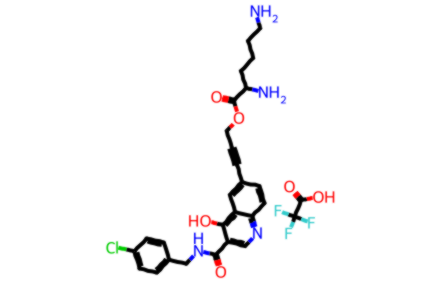 NCCCCC(N)C(=O)OCC#Cc1ccc2ncc(C(=O)NCc3ccc(Cl)cc3)c(O)c2c1.O=C(O)C(F)(F)F